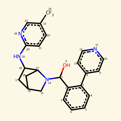 OC(c1ccccc1-c1ccncc1)N1CC2CC(Nc3ccc(C(F)(F)F)cn3)C1C2